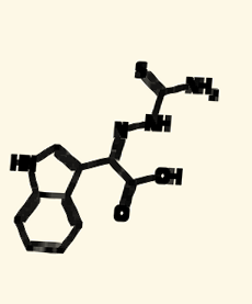 NC(=S)N/N=C(\C(=O)O)c1c[nH]c2ccccc12